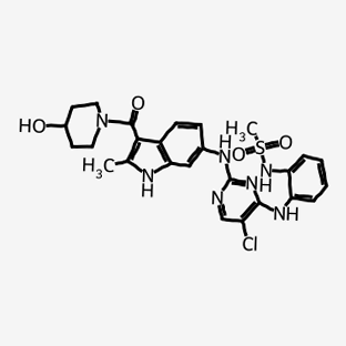 Cc1[nH]c2cc(Nc3ncc(Cl)c(Nc4ccccc4NS(C)(=O)=O)n3)ccc2c1C(=O)N1CCC(O)CC1